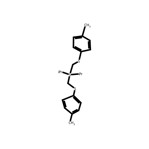 Cc1ccc(SCS(CSc2ccc(C)cc2)(C(C)C)C(C)C)cc1